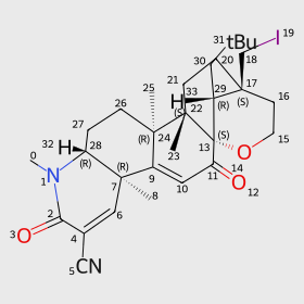 CN1C(=O)C(C#N)=C[C@]2(C)C3=CC(=O)[C@@]45OCC[C@@](CI)(CC[C@@]4(C)[C@]3(C)CC[C@@H]12)[C@H]5CC(C)(C)C